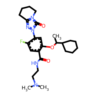 CC(Oc1cc(-n2nc3n(c2=O)CCCC3)c(F)cc1C(=O)NCCN(C)C)C1CCCCC1